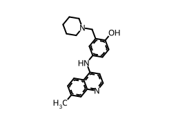 Cc1ccc2c(Nc3ccc(O)c(CN4CCCCC4)c3)ccnc2c1